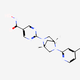 Cc1ccnc(N2C[C@H]3C[C@@H]2CN3c2ncc(C(=O)NO)cn2)c1